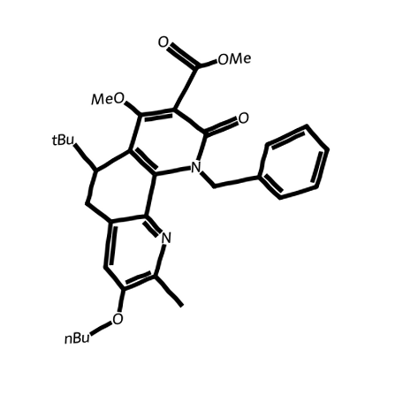 CCCCOc1cc2c(nc1C)-c1c(c(OC)c(C(=O)OC)c(=O)n1Cc1ccccc1)C(C(C)(C)C)C2